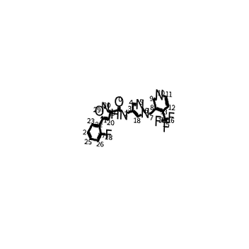 O=C(Nc1cnn(Cc2cnccc2C(F)(F)F)c1)c1cc(-c2ccccc2F)on1